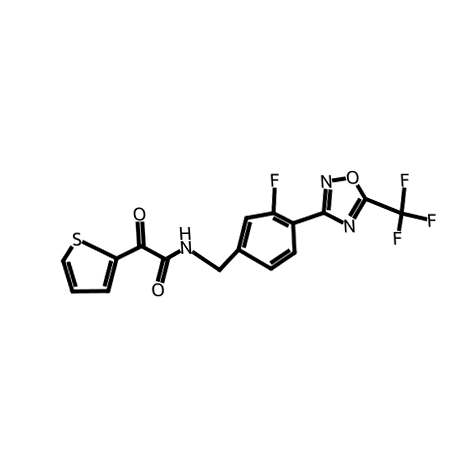 O=C(NCc1ccc(-c2noc(C(F)(F)F)n2)c(F)c1)C(=O)c1cccs1